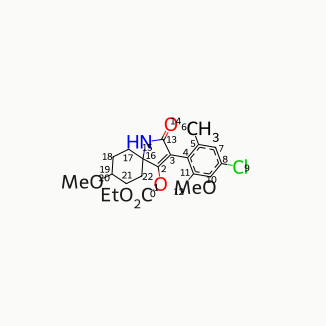 CCOC(=O)OC1=C(c2c(C)cc(Cl)cc2OC)C(=O)NC12CCC(OC)CC2